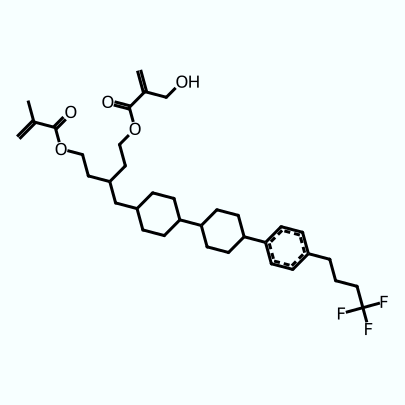 C=C(C)C(=O)OCCC(CCOC(=O)C(=C)CO)CC1CCC(C2CCC(c3ccc(CCCC(F)(F)F)cc3)CC2)CC1